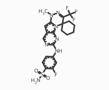 CN1N=C(C(F)(F)F)C2(CCCCC2)n2c1cc1cnc(Nc3ccc(S(N)(=O)=O)c(F)c3)nc12